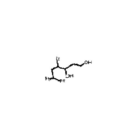 CCC(CC)CC(CC)C(O)CCO